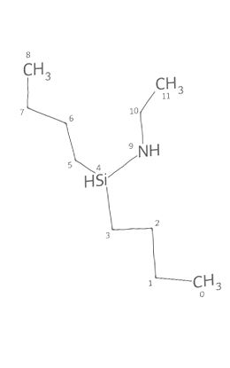 CCCC[SiH](CCCC)NCC